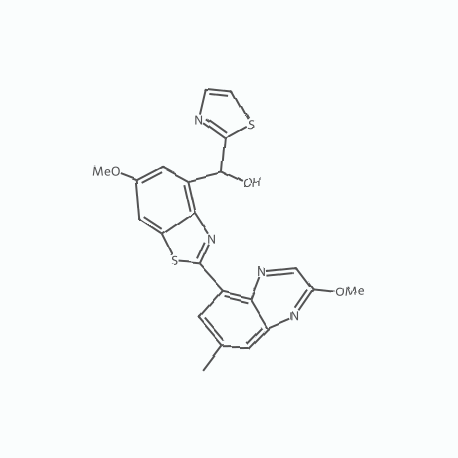 COc1cc(C(O)c2nccs2)c2nc(-c3cc(C)cc4nc(OC)cnc34)sc2c1